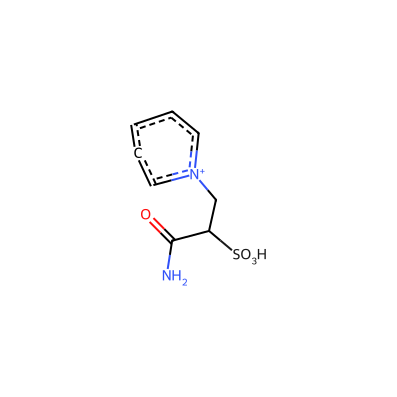 NC(=O)C(C[n+]1ccccc1)S(=O)(=O)O